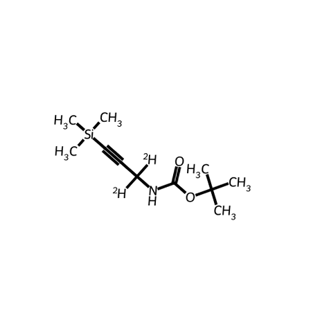 [2H]C([2H])(C#C[Si](C)(C)C)NC(=O)OC(C)(C)C